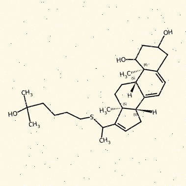 CC(SCCCCC(C)(C)O)C1=CC[C@H]2C3=CC=C4CC(O)CC(O)[C@]4(C)[C@H]3CC[C@]12C